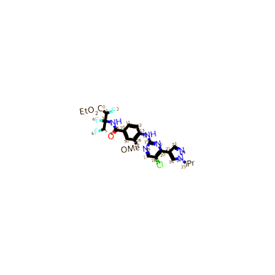 CCOC(=O)C(F)C(F)(CF)NC(=O)c1ccc(Nc2ncc(Cl)c(-c3cnn(C(C)C)c3)n2)c(OC)c1